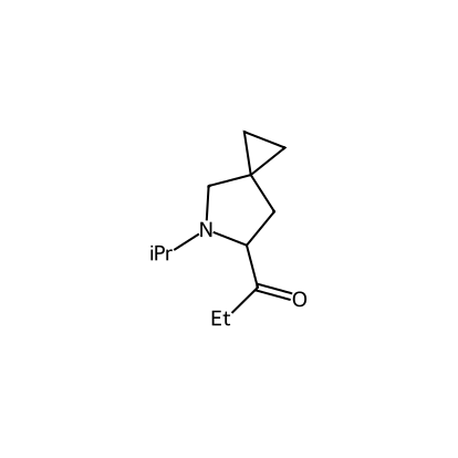 CCC(=O)C1CC2(CC2)CN1C(C)C